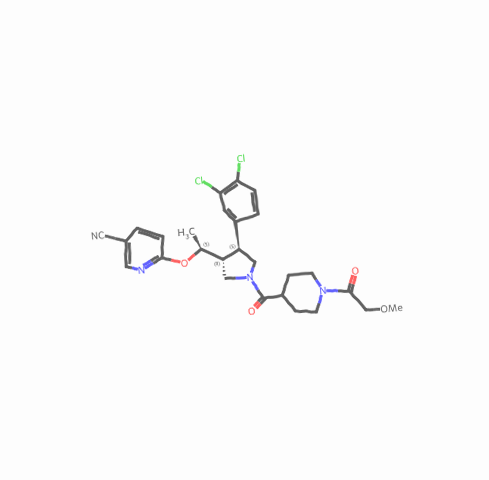 COCC(=O)N1CCC(C(=O)N2C[C@H]([C@H](C)Oc3ccc(C#N)cn3)[C@@H](c3ccc(Cl)c(Cl)c3)C2)CC1